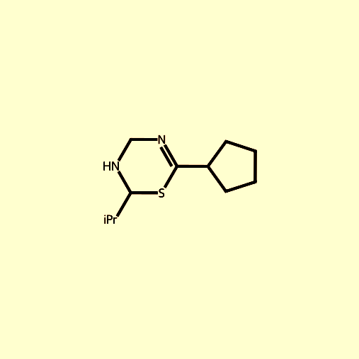 CC(C)C1NCN=C(C2CCCC2)S1